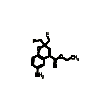 CCOC(=O)C1=CC(CF)(CF)Oc2ccc(N)cc21